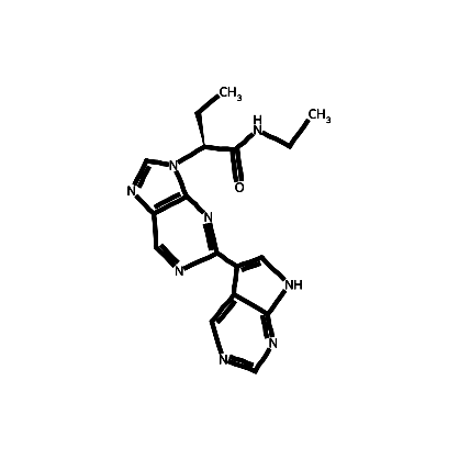 CCNC(=O)[C@H](CC)n1cnc2cnc(-c3c[nH]c4ncncc34)nc21